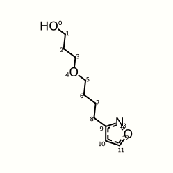 OCCCOCCCCc1ccon1